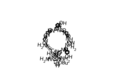 CC[C@H](C)[C@H](NC(=O)[C@H](CC(C)C)NC(=O)[C@H](CCN)NC(=O)[C@@H]1CSSC[C@H](N)C(=O)N2CCC[C@H]2C(=O)N2CCC[C@H]2C(=O)N[C@@H](Cc2ccc(O)cc2)C(=O)N[C@@H](CC(C)C)C(=O)N2CCC[C@H]2C(=O)N[C@H](CCN)C(=O)N[C@@H](Cc2ccc(O)cc2)C(=O)N[C@@H](CC(C)C)C(=O)N1)C(N)=O